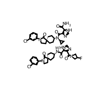 NC(=O)c1[nH]cnc1C(=O)N(C1CC1)[C@H]1CC[C@@]2(CCN(c3cccc(Cl)c3)C2=O)CC1.O=C(N[C@H]1CC[C@@]2(CCN(c3cccc(Cl)c3)C2=O)CC1)c1[nH]cnc1C(=O)N1CC(F)C1